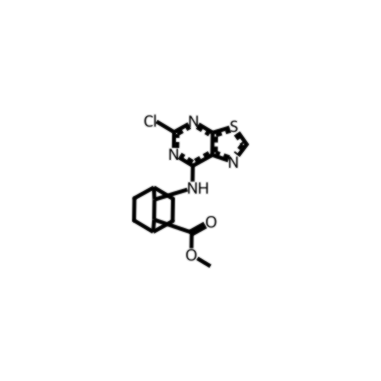 COC(=O)C1C2CCC(CC2)C1Nc1nc(Cl)nc2scnc12